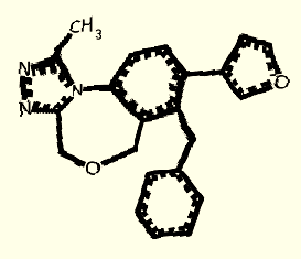 Cc1nnc2n1-c1ccc(-c3ccoc3)c(Cc3ccccc3)c1COC2